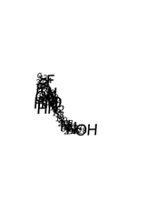 Cc1cc(F)c(COc2nsc(NC(=O)NCCCCCCN3CCN(CCO)CC3)c2C(N)=O)c(F)c1